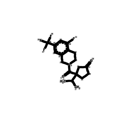 CC(C)C1(C(=O)N2CCc3c(F)cc(C(F)(F)F)cc3C2)CCC(=O)C1